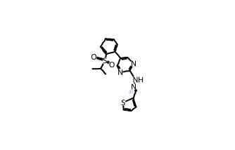 CC(C)S(=O)(=O)c1ccccc1-c1cnc(N/N=C/c2cccs2)nc1